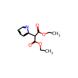 CCOC(=O)C(C(=O)OCC)c1ccccn1